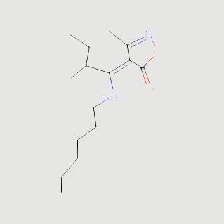 CCCCCCN/C(=C1\C(=O)ON=C1C)C(C)CC